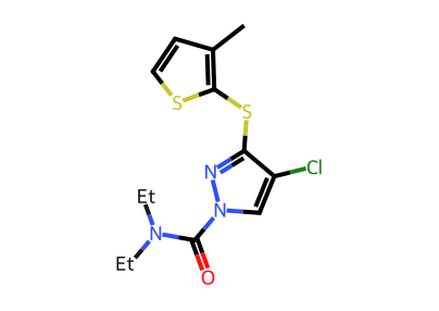 CCN(CC)C(=O)n1cc(Cl)c(Sc2sccc2C)n1